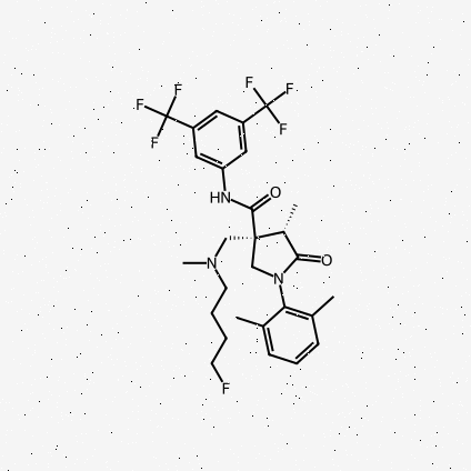 Cc1cccc(C)c1N1C[C@@](CN(C)CCCCF)(C(=O)Nc2cc(C(F)(F)F)cc(C(F)(F)F)c2)[C@H](C)C1=O